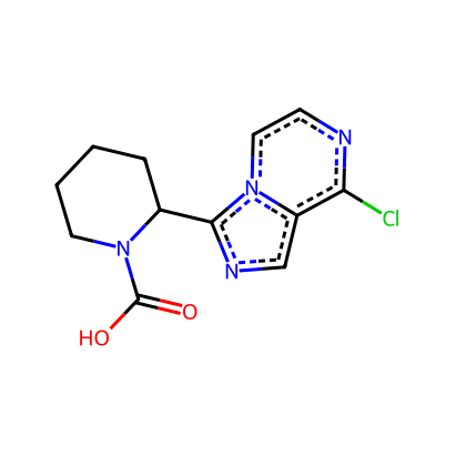 O=C(O)N1CCCCC1c1ncc2c(Cl)nccn12